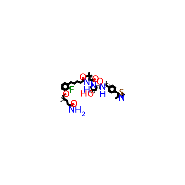 Cc1ncsc1-c1ccc([C@H](C)NC(=O)[C@@H]2C[C@@H](O)CN2C(=O)[C@@H](NC(=O)CCCCc2cccc(OC[C@@H](C)CCC(N)=O)c2F)C(C)(C)C)cc1